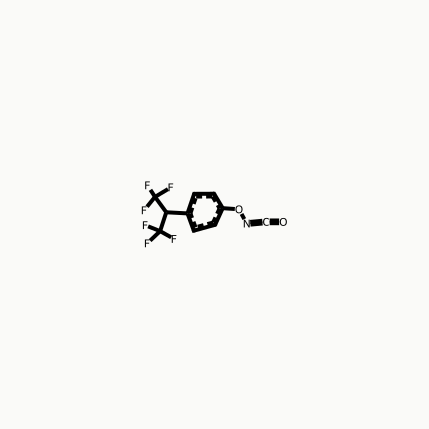 O=C=NOc1ccc(C(C(F)(F)F)C(F)(F)F)cc1